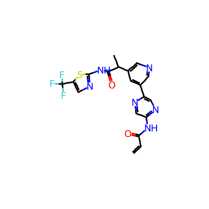 C=CC(=O)Nc1cnc(-c2cncc(C(C)C(=O)Nc3ncc(C(F)(F)F)s3)c2)cn1